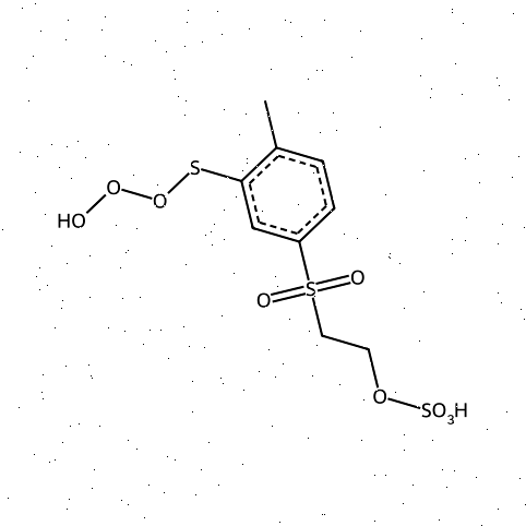 Cc1ccc(S(=O)(=O)CCOS(=O)(=O)O)cc1SOOO